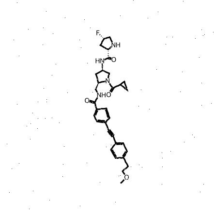 COCCc1ccc(C#Cc2ccc(C(=O)NC[C@H]3C[C@@H](NC(=O)[C@@H]4C[C@H](F)CN4)CN3C(=O)C3CC3)cc2)cc1